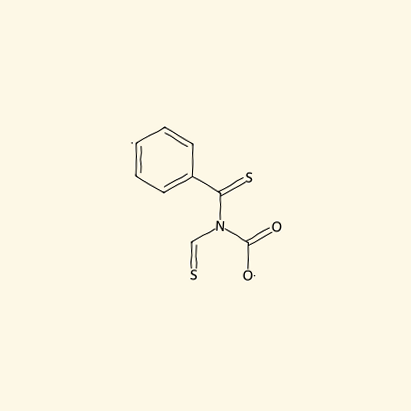 [O]C(=O)N(C=S)C(=S)c1cc[c]cc1